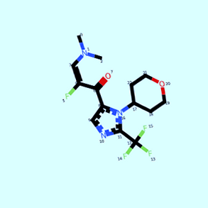 CN(C)/C=C(/F)C(=O)c1cnc(C(F)(F)F)n1C1CCOCC1